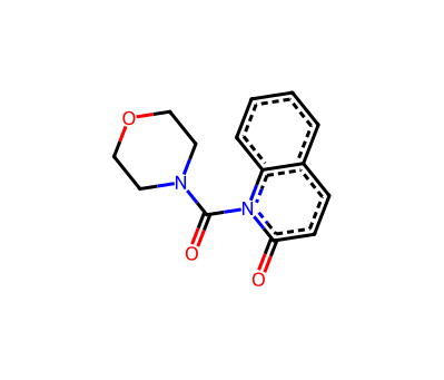 O=C(N1CCOCC1)n1c(=O)ccc2ccccc21